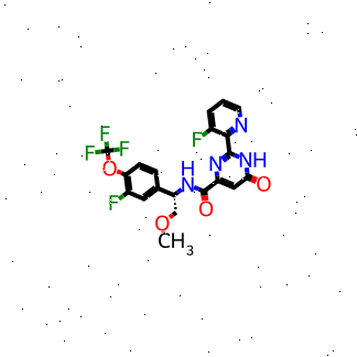 COC[C@@H](NC(=O)c1cc(=O)[nH]c(-c2ncccc2F)n1)c1ccc(OC(F)(F)F)c(F)c1